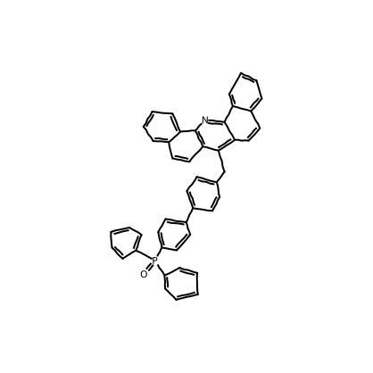 O=P(c1ccccc1)(c1ccccc1)c1ccc(-c2ccc(Cc3c4ccc5ccccc5c4nc4c3ccc3ccccc34)cc2)cc1